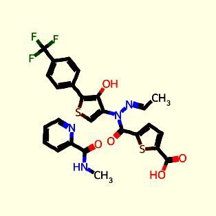 CC=NN(C(=O)c1ccc(C(=O)O)s1)c1csc(-c2ccc(C(F)(F)F)cc2)c1O.CNC(=O)c1ccccn1